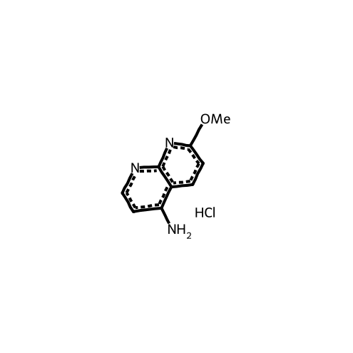 COc1ccc2c(N)ccnc2n1.Cl